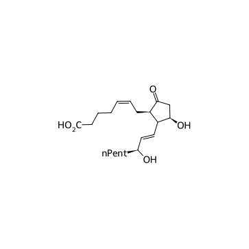 CCCCC[C@H](O)/C=C/C1[C@H](O)CC(=O)[C@@H]1C/C=C\CCCC(=O)O